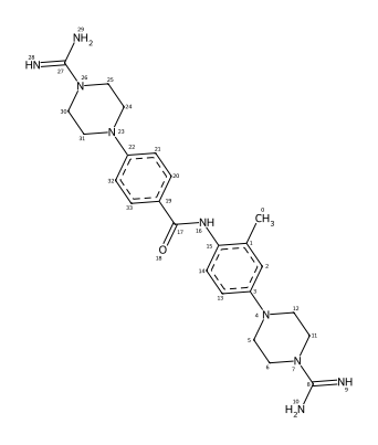 Cc1cc(N2CCN(C(=N)N)CC2)ccc1NC(=O)c1ccc(N2CCN(C(=N)N)CC2)cc1